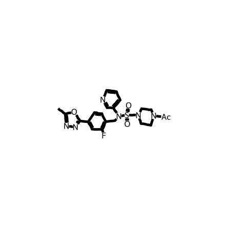 CC(=O)N1CCN(S(=O)(=O)N(Cc2ccc(-c3nnc(C)o3)cc2F)c2cccnc2)CC1